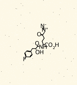 [N-]=[N+]=CC(=O)CC[C@H](NC(=O)[C@@H](O)Cc1ccc(F)cc1)C(=O)O